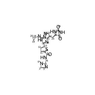 Cn1ccnc1CNC(=O)c1ccc(-c2cc(NC3CC3)n3ncc(/C=C4\NC(=O)NC4=O)c3n2)s1